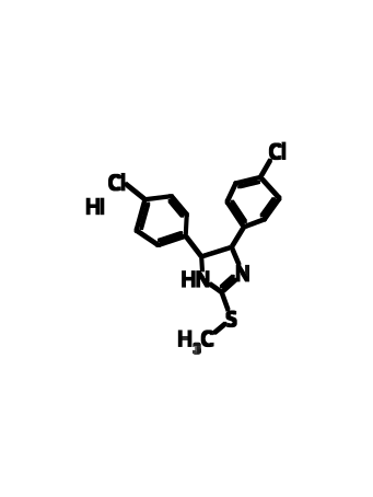 CSC1=NC(c2ccc(Cl)cc2)C(c2ccc(Cl)cc2)N1.I